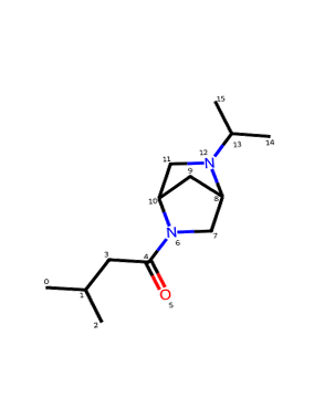 CC(C)CC(=O)N1CC2CC1CN2C(C)C